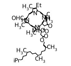 CCC1=C(C)c2cc3[nH]c(cc4nc(c5c6[nH]c(cc1n2)c(C)c6C(=O)[C@@H]5C(=O)OC)[C@@H](CCC(=O)OC/C=C(\C)CCC[C@H](C)CCC[C@H](C)CCCC(C)C)[C@@H]4C)c(C)c3C=O